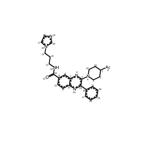 CC(=O)C1CCN(c2nc3cc(C(=O)NCCCn4ccnc4)ccc3nc2-c2ccccc2)CC1